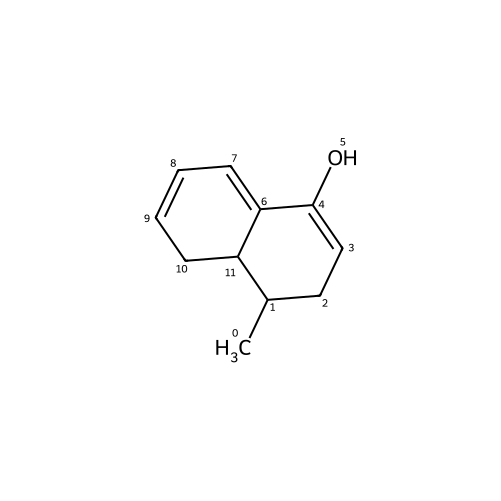 CC1CC=C(O)C2=CC=CCC21